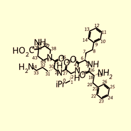 CC(C)C[C@@H](NC(=O)[C@@H](CCc1ccccc1)NC(=O)[C@H](N)Cc1ccccc1)C(=O)N[C@H](CCCN)C(=O)N1CCC(N)(C(=O)O)CC1